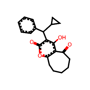 O=C1CCCCCc2oc(=O)c(C(c3ccccc3)C3CC3)c(O)c21